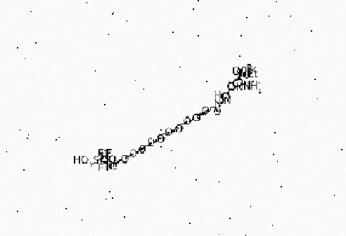 CCCN(OCC)C(=O)C1=Cc2ccc(-c3ccc(CNC(=O)CCOCCOCCOCCOCCOCCOCCOCCOCCOCCOCCC(=O)Oc4c(F)c(F)c(S(=O)(=O)O)c(F)c4F)nc3)cc2N=C(N)C1